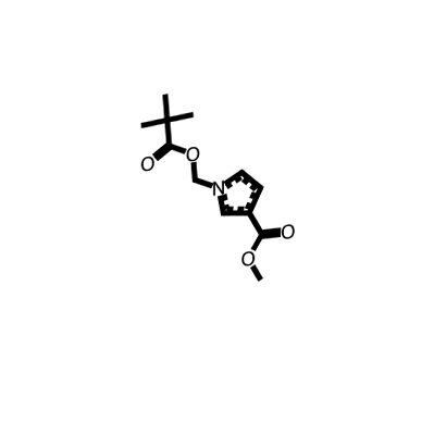 COC(=O)c1ccn(COC(=O)C(C)(C)C)c1